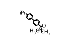 CC(C)c1ccc(-c2ccc(C(=O)N(C)C)cc2)cc1